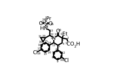 CCC1(CC(=O)O)CC(c2cccc(Cl)c2)C(c2ccc(Cl)cc2)N(C(CNS(=O)(=O)C(C)C)C2CC2)C1=O